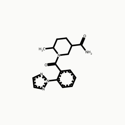 CC1CCC(C(N)=O)CN1C(=O)c1ccccc1-n1nccn1